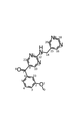 COc1cccc(C(=O)c2cnc(NCc3cncnc3)nc2)c1